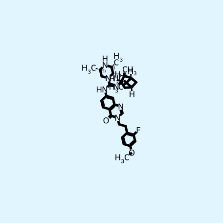 COc1ccc(CCn2cnc3cc(NC(=N[C@H]4C[C@H]5C[C@@H]([C@@H]4C)C5(C)C)N4C[C@@H](C)N[C@@H](C)C4)ccc3c2=O)c(F)c1